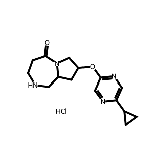 Cl.O=C1CCNCC2CC(Oc3cnc(C4CC4)cn3)CN12